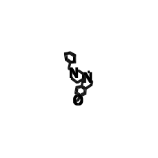 COc1ccc2c(c1)CCN(C)C21CCN(Cc2ccccc2)CC1